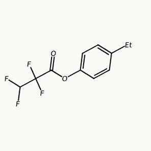 CCc1ccc(OC(=O)C(F)(F)C(F)F)cc1